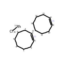 C1=C\CCCCCC/1.C1=C\CCCCCC/1.[Cl][Rh]